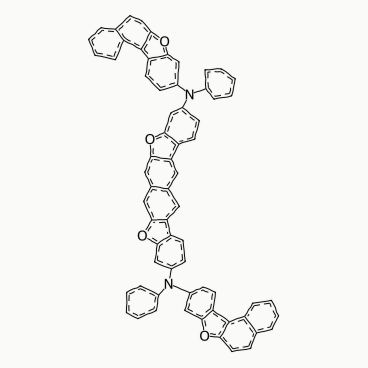 c1ccc(N(c2ccc3c(c2)oc2cc4cc5oc6cc(N(c7ccccc7)c7ccc8c(c7)oc7ccc9ccccc9c78)ccc6c5cc4cc23)c2ccc3c(c2)oc2ccc4ccccc4c23)cc1